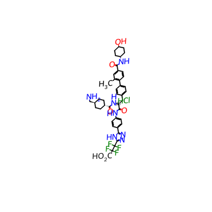 Cc1cc(C(=O)N[C@H]2CC[C@H](O)CC2)ccc1-c1ccc(C[C@H](NC(=O)[C@H]2CC[C@H](CN)CC2)C(=O)Nc2ccc(-c3nnc(C(F)(F)C(F)(F)C(=O)O)[nH]3)cc2)cc1.Cl